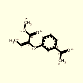 CC=C(Sc1cccc(C(C)=O)c1)C(=O)OC